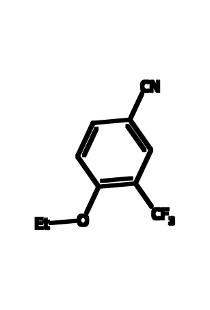 CCOc1ccc(C#N)cc1C(F)(F)F